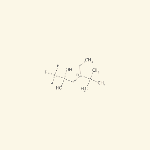 CC[C@@H](CC(O)(O)C(F)(F)F)C(C)(C)C